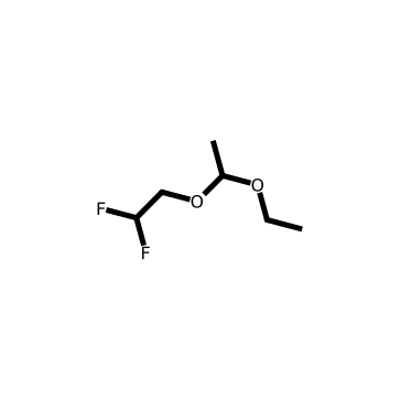 CCOC(C)OCC(F)F